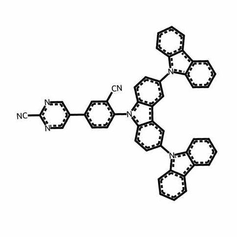 N#Cc1ncc(-c2ccc(-n3c4ccc(-n5c6ccccc6c6ccccc65)cc4c4cc(-n5c6ccccc6c6ccccc65)ccc43)c(C#N)c2)cn1